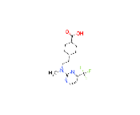 CN(CC[C@H]1CC[C@H](C(=O)O)CC1)c1nccc(C(F)(F)F)n1